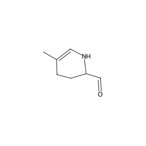 CC1=CNC(C=O)CC1